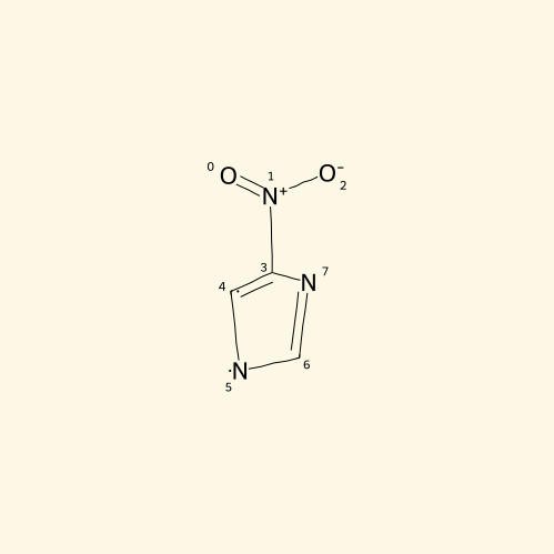 O=[N+]([O-])C1=[C][N]C=N1